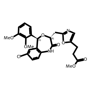 COC(=O)CCc1cnc(C[C@H]2O[C@H](c3cccc(OC)c3OC)c3cc(Cl)ccc3NC2=O)o1